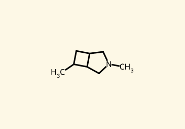 CC1CC2CN(C)CC12